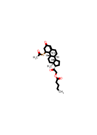 CCCCC(=O)OCC(=O)[C@H]1CC[C@H]2[C@@H]3CCC4=CC(=O)CC(SC(C)=O)[C@]4(C)[C@H]3CC[C@]12C